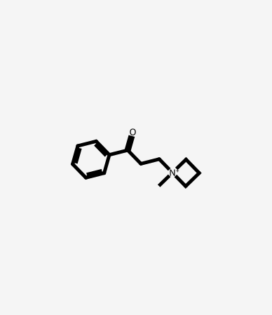 C[N+]1(CCC(=O)c2ccccc2)CCC1